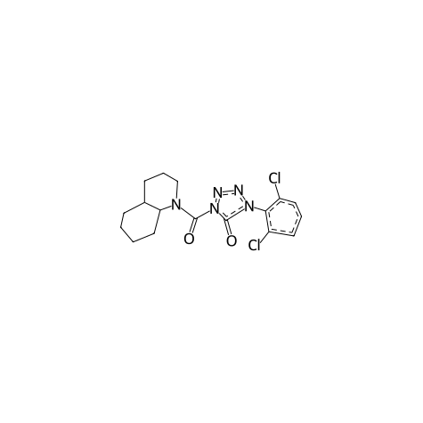 O=C(N1CCCC2CCCCC21)n1nnn(-c2c(Cl)cccc2Cl)c1=O